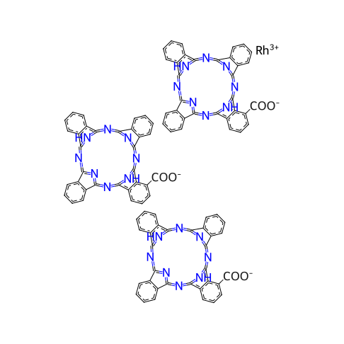 O=C([O-])c1cccc2c3nc4nc(nc5[nH]c(nc6nc(nc([nH]3)c12)-c1ccccc1-6)c1ccccc51)-c1ccccc1-4.O=C([O-])c1cccc2c3nc4nc(nc5[nH]c(nc6nc(nc([nH]3)c12)-c1ccccc1-6)c1ccccc51)-c1ccccc1-4.O=C([O-])c1cccc2c3nc4nc(nc5[nH]c(nc6nc(nc([nH]3)c12)-c1ccccc1-6)c1ccccc51)-c1ccccc1-4.[Rh+3]